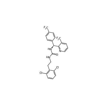 O=C(NCCc1c(Cl)cccc1Cl)N[C@@H](c1ccc(C(F)(F)F)cc1)c1ncccc1C(F)(F)F